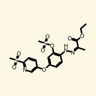 CCOC(=O)C(C)=NNc1ccc(Oc2ccc(S(C)(=O)=O)nc2)cc1OS(C)(=O)=O